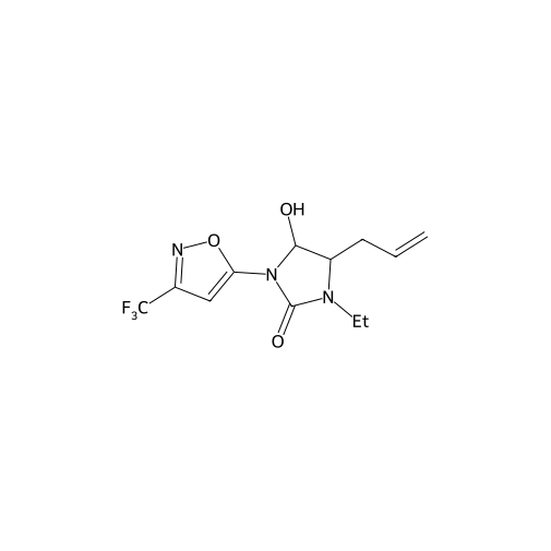 C=CCC1C(O)N(c2cc(C(F)(F)F)no2)C(=O)N1CC